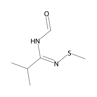 CS/N=C(\NC=O)C(C)C